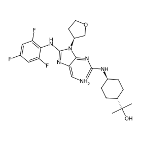 C=C(/N=C1\C(=C/N)N=C(Nc2c(F)cc(F)cc2F)N1[C@H]1CCOC1)N[C@H]1CC[C@H](C(C)(C)O)CC1